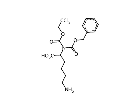 NCCCCC(C(=O)O)N(C(=O)OCc1ccccc1)C(=O)OCC(Cl)(Cl)Cl